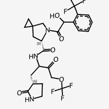 O=C(COC(F)(F)F)C(C[C@@H]1CCNC1=O)NC(=O)[C@@H]1CC2(CC2)CN1C(=O)C(O)c1ccccc1C(F)(F)F